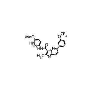 COC1=CC=C(NC(=O)c2c(C)nc3ccc(-c4cccc(OC(F)(F)F)c4)nn23)NN1